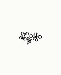 CCON1CCC[C@H]1C(=O)N1CCC(NS(=O)(=O)c2ccc(NC(=O)c3ccccc3C)c3ccccc23)CC1